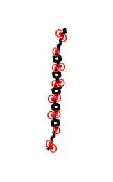 C=CC(=O)OCCCCOc1ccc(C(=O)Oc2ccc(C(=O)Oc3ccc(OC(=O)c4ccc(OC(=O)c5ccc(OCCCCOC(C)=O)cc5)cc4)cc3C)cc2)cc1